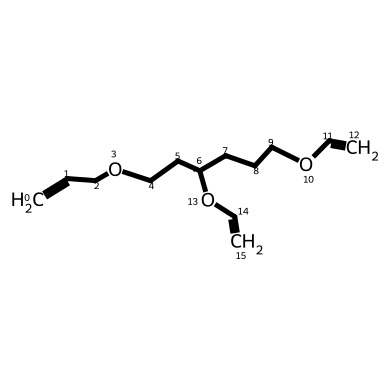 C=CCOCC[C](CCCOC=C)OC=C